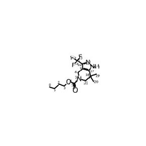 CCCCOC(=O)N1Cc2c(C(F)(F)F)n[nH]c2C(C)(C)C1